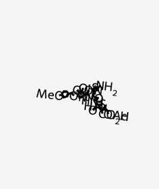 COc1ccc(COC2C=NC(C(=O)NC(C(=O)N[C@@H]3C(=O)N4C(C(=O)O)=C(COC(C)=O)CS[C@H]34)c3csc(N)n3)=C(O)C2=O)cc1